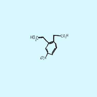 O=C(O)Cc1ccc([N+](=O)[O-])cc1CC(=O)O